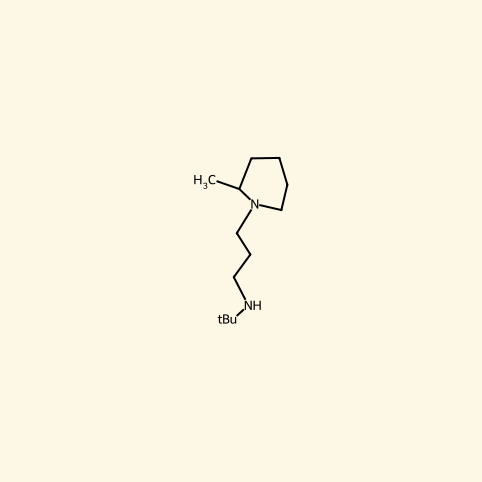 CC1CCCCN1CCCNC(C)(C)C